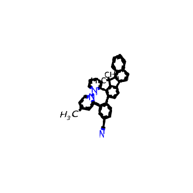 Cc1cc[n+]2c(c1)-c1cc(C#N)ccc1-c1ccc3c(c1-c1cccc[n+]1-2)C(C)(C)c1c-3ccc2ccccc12